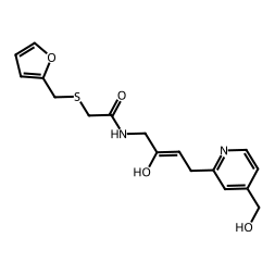 O=C(CSCc1ccco1)NC/C(O)=C/Cc1cc(CO)ccn1